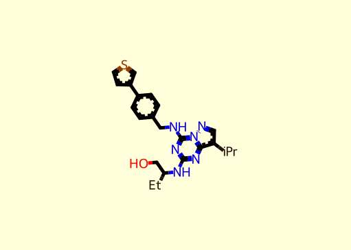 CCC(CO)Nc1nc(NCc2ccc(-c3ccsc3)cc2)n2ncc(C(C)C)c2n1